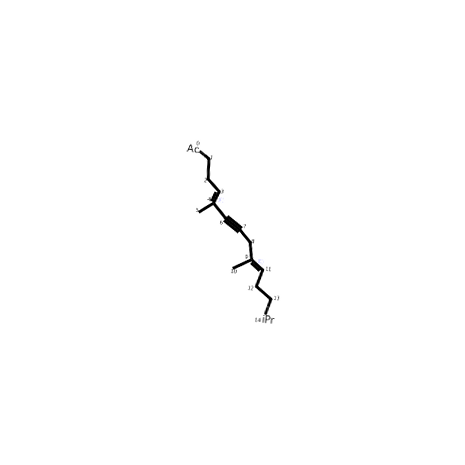 CC(=O)CC/C=C(\C)C#CC/C(C)=C/CCC(C)C